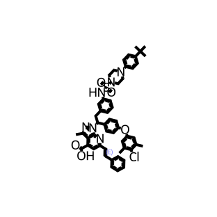 Cc1cc(Oc2ccc(C(Cc3cccc(NS(=O)(=O)N4CCN(c5ccc(C(C)(C)C)cc5)CC4)c3)n3nc(C)c4c(C(=O)O)cc(/C=C/c5ccccc5)nc43)cc2)cc(C)c1Cl